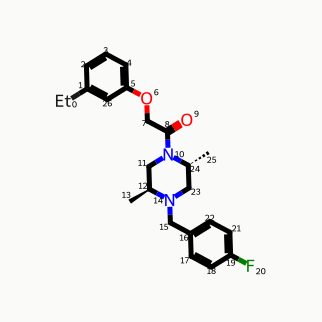 CCc1cccc(OCC(=O)N2C[C@H](C)N(Cc3ccc(F)cc3)C[C@H]2C)c1